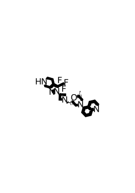 C[C@@H]1CN(c2cccc3ncccc23)C[C@H](CN2CC(n3nc4c(c3C(F)(F)F)CCNC4)C2)O1